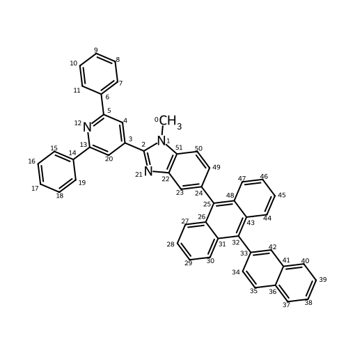 Cn1c(-c2cc(-c3ccccc3)nc(-c3ccccc3)c2)nc2cc(-c3c4ccccc4c(-c4ccc5ccccc5c4)c4ccccc34)ccc21